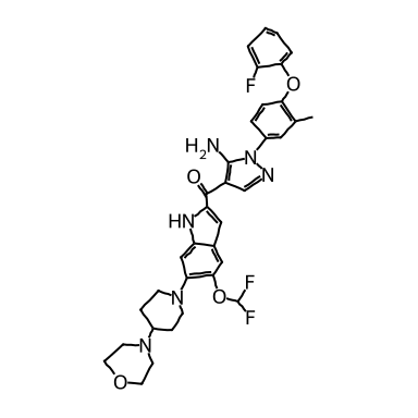 Cc1cc(-n2ncc(C(=O)c3cc4cc(OC(F)F)c(N5CCC(N6CCOCC6)CC5)cc4[nH]3)c2N)ccc1Oc1ccccc1F